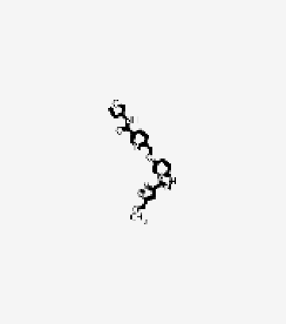 COCc1cc(-c2nnc3ccc(OCc4ccc(C(=O)NC5CCOC5)cn4)cn23)no1